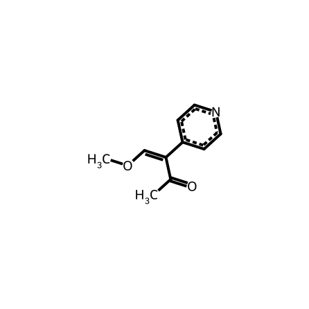 COC=C(C(C)=O)c1ccncc1